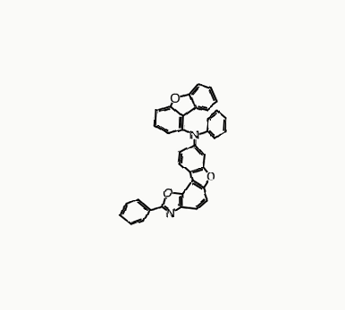 c1ccc(-c2nc3ccc4oc5cc(N(c6ccccc6)c6cccc7oc8ccccc8c67)ccc5c4c3o2)cc1